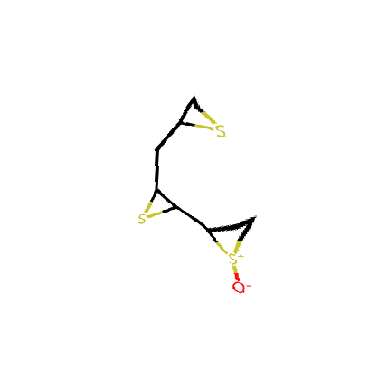 [O-][S+]1CC1C1SC1CC1CS1